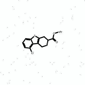 CCCOC(=O)C1CCc2c(sc3cccc(Cl)c23)C1